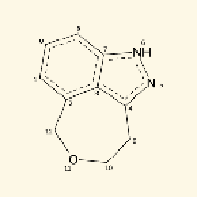 c1cc2c3c(n[nH]c3c1)CCOC2